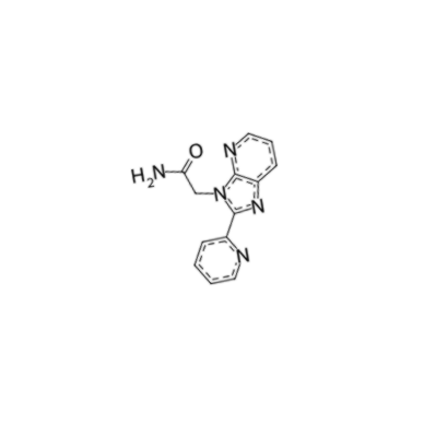 NC(=O)Cn1c(-c2ccccn2)nc2cccnc21